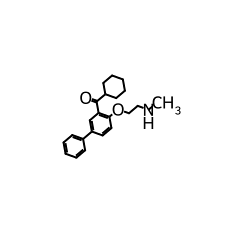 CNCCOc1ccc(-c2ccccc2)cc1C(=O)C1CCCCC1